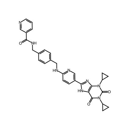 O=C(NCc1ccc(CNc2ccc(-c3nc4c([nH]3)c(=O)n(C3CC3)c(=O)n4C3CC3)cn2)cc1)c1cccnc1